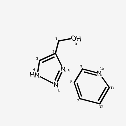 OCc1c[nH]nn1.c1ccncc1